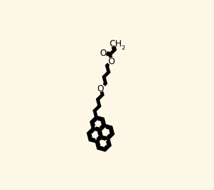 C=CC(=O)OCCCCOCCCCc1cc2ccc3cccc4ccc(c1)c2c34